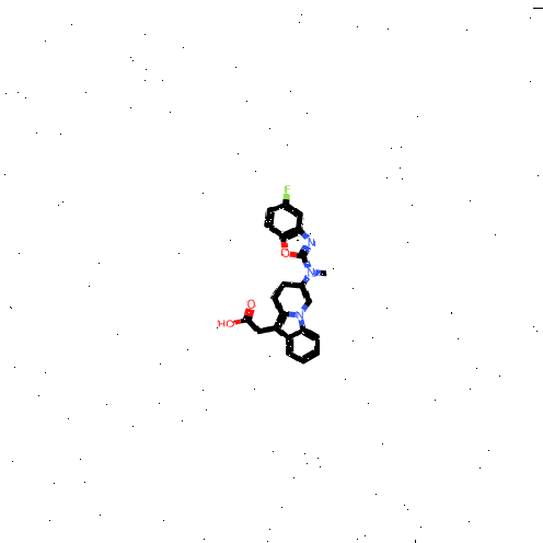 CN(c1nc2cc(F)ccc2o1)C1CCc2c(CC(=O)O)c3ccccc3n2C1